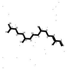 C=C/C(C)=C/CCC(C)CCCC(C)CCCC(C)C